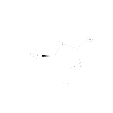 CCC(C)C1=N[C@H](C)[C@@H](CC)S1